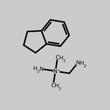 C[N+](C)(N)CN.c1ccc2c(c1)CCC2